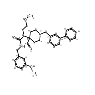 COCCN(C(=O)NCc1cccc(OC)c1)C1(C=O)CCN(Cc2cccc(-c3ccncc3)c2)CC1